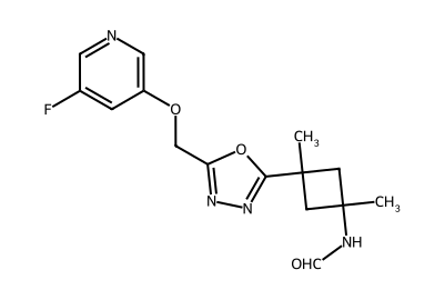 CC1(NC=O)CC(C)(c2nnc(COc3cncc(F)c3)o2)C1